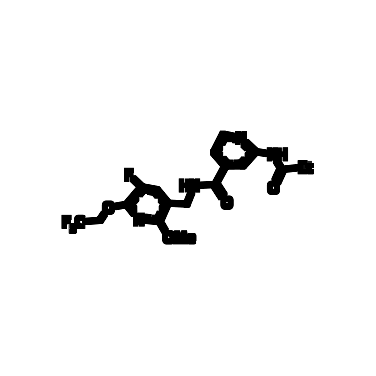 CCC(=O)Nc1cc(C(=O)NCc2cc(F)c(OCC(F)(F)F)nc2OC)ccn1